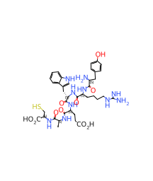 C[C@H](NC(=O)[C@H](CCC(=O)O)NC(=O)[C@H](Cc1c[nH]c2ccccc12)NC(=O)[C@H](CCCCNC(=N)N)NC(=O)[C@@H](N)Cc1ccc(O)cc1)C(=O)N[C@H](CS)C(=O)O